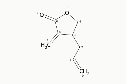 C=CCC1COC(=O)C1=C